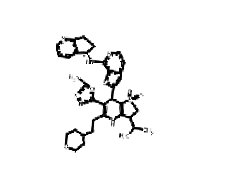 CC(C)C1CS(=O)(=O)C2=C1NC(CCC1CCOCC1)=C(c1nnc(N)o1)C2c1cc2ccnc(N[C@@H]3CCc4ncccc43)c2s1